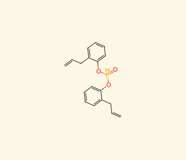 C=CCc1ccccc1O[PH](=O)Oc1ccccc1CC=C